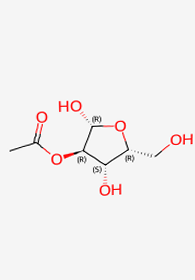 CC(=O)O[C@@H]1[C@@H](O)[C@@H](CO)O[C@H]1O